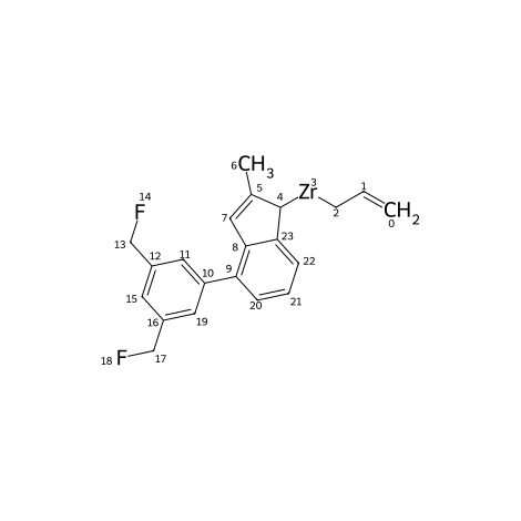 C=C[CH2][Zr][CH]1C(C)=Cc2c(-c3cc(CF)cc(CF)c3)cccc21